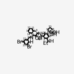 CCNc1cc(C(=O)N[C@@H](Cc2ccccc2)[C@H](O)CNCc2cc(Br)cc(Br)c2)cc(N2CCCS2(O)O)c1